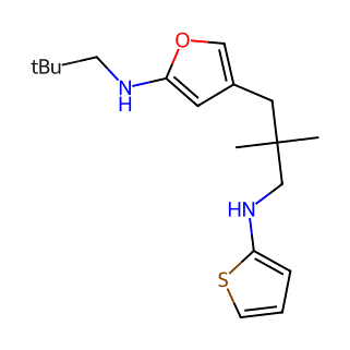 CC(C)(C)CNc1cc(CC(C)(C)CNc2cccs2)co1